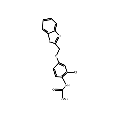 COC(=O)Nc1ccc(OCc2nc3ccccc3s2)cc1Cl